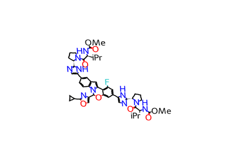 COC(=O)N[C@H](C(=O)N1CCC[C@H]1c1ncc(-c2cc(F)c3c(c2)OC(c2coc(C4CC4)n2)n2c-3cc3cc(-c4cnc([C@@H]5CCCN5C(=O)[C@@H](NC(=O)OC)C(C)C)[nH]4)ccc32)[nH]1)C(C)C